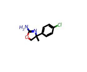 CC1(c2ccc(Cl)cc2)COC(N)=N1